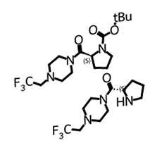 CC(C)(C)OC(=O)N1CCC[C@H]1C(=O)N1CCN(CC(F)(F)F)CC1.O=C([C@@H]1CCCN1)N1CCN(CC(F)(F)F)CC1